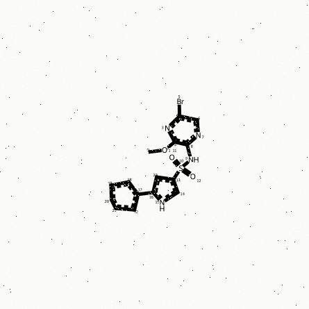 COc1nc(Br)cnc1NS(=O)(=O)c1c[nH]c(-c2ccccc2)c1